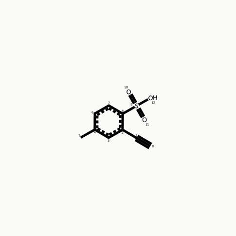 C#Cc1cc(C)ccc1S(=O)(=O)O